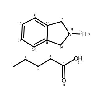 CCCCC(=O)O.[2H]N1Cc2ccccc2C1